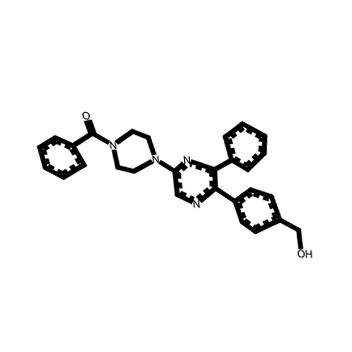 O=C(c1ccccc1)N1CCN(c2cnc(-c3ccc(CO)cc3)c(-c3ccccc3)n2)CC1